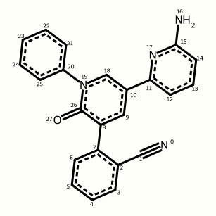 N#Cc1ccccc1-c1cc(-c2cccc(N)n2)cn(-c2ccccc2)c1=O